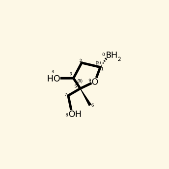 B[C@H]1CC(O)[C@@](C)(CO)O1